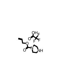 C=CCOC(=O)N1CCNCC1.O=C(O)C(F)(F)F